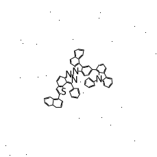 C1=CC2=C(c3cc4ccc5nc(-n6c7ccc(-c8cccc9c%10ccccc%10n(-c%10ccccc%10)c89)cc7c7c8ccccc8ccc76)nc(-c6ccccc6)c5c4s3)C=CCC2C=C1